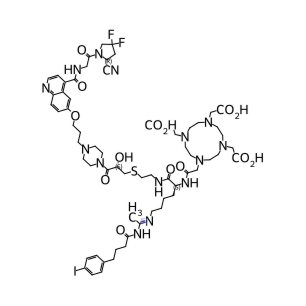 C/C(=N\CCCC[C@H](NC(=O)CN1CCN(CC(=O)O)CCN(CC(=O)O)CCN(CC(=O)O)CC1)C(=O)NCCSC[C@@H](O)C(=O)N1CCN(CCCOc2ccc3nccc(C(=O)NCC(=O)N4CC(F)(F)C[C@@H]4C#N)c3c2)CC1)NC(=O)CCCc1ccc(I)cc1